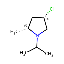 CC(C)N1C[C@@H](Cl)C[C@H]1C